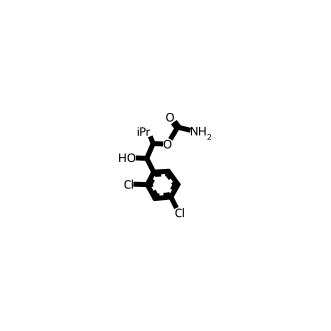 CC(C)C(OC(N)=O)C(O)c1ccc(Cl)cc1Cl